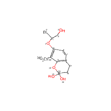 CCC(CO)Oc1ccc2c(c1C(=O)O)O[B-](O)(O)CC2